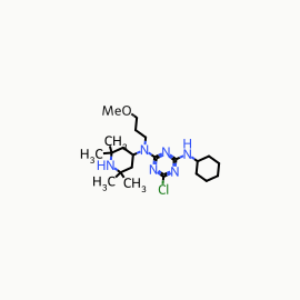 COCCCN(c1nc(Cl)nc(NC2CCCCC2)n1)C1CC(C)(C)NC(C)(C)C1